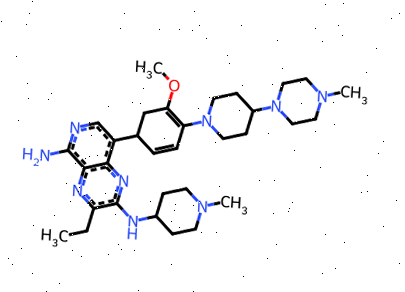 CCc1nc2c(N)ncc(C3C=CC(N4CCC(N5CCN(C)CC5)CC4)=C(OC)C3)c2nc1NC1CCN(C)CC1